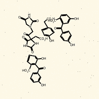 O=C(O)CC1(C(=O)CN2CC(=O)NC2=O)NC(=O)NC1=O.O=C(O)Cc1ccc(O)cc1.O=C(O)c1ccc(O)cc1C(=O)c1ccc(O)cc1.O=C(O)c1cccc(O)c1C(=O)c1cccc(O)c1